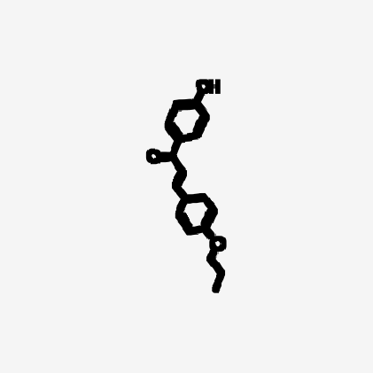 CCCOc1ccc(C=CC(=O)c2ccc(O)cc2)cc1